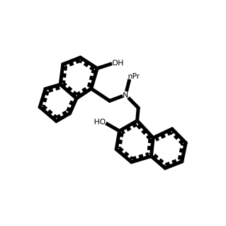 CCCN(Cc1c(O)ccc2ccccc12)Cc1c(O)ccc2ccccc12